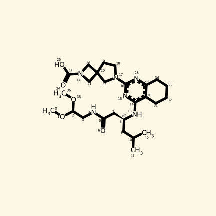 COC(CNC(=O)C[C@H](CC(C)C)Nc1nc(N2CCC3(CN(C(=O)O)C3)C2)nc2c1CCCC2)OC